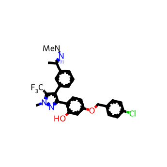 CN/N=C(\C)c1cccc(-c2c(-c3ccc(OCc4ccc(Cl)cc4)cc3O)nn(C)c2C(F)(F)F)c1